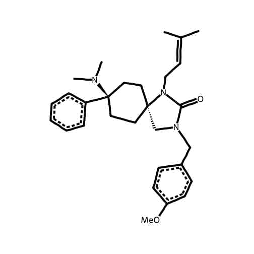 COc1ccc(CN2C[C@]3(CC[C@](c4ccccc4)(N(C)C)CC3)N(CC=C(C)C)C2=O)cc1